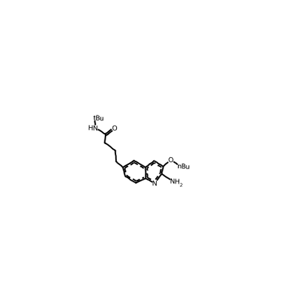 CCCCOc1cc2cc(CCCC(=O)NC(C)(C)C)ccc2nc1N